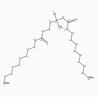 CCCCCCCCCCCCCCCCCCOC(=O)CCSC(C)(CC)CC(=O)OCCCCCCCCCCCCCCCCCC